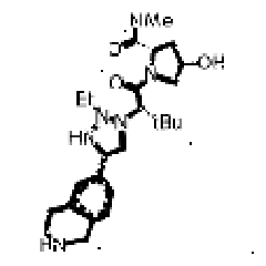 CCN1NC(c2ccc3c(c2)CCNC3)CN1[C@H](C(=O)N1C[C@H](O)C[C@H]1C(=O)NC)C(C)(C)C